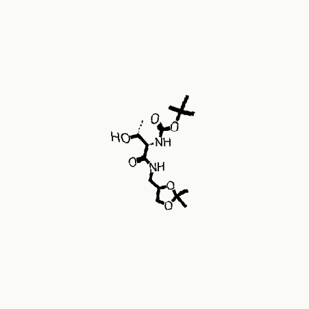 C[C@@H](O)[C@H](NC(=O)OC(C)(C)C)C(=O)NCC1COC(C)(C)O1